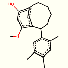 COc1cc(O)c2cc1C(c1cc(C)c(C)cc1C)CCCC2